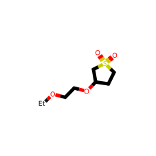 CCOCCOC1CCS(=O)(=O)C1